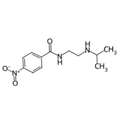 CC(C)NCCNC(=O)c1ccc([N+](=O)[O-])cc1